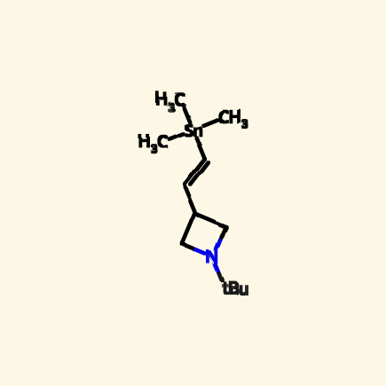 CC(C)(C)N1CC(/C=[CH]/[Sn]([CH3])([CH3])[CH3])C1